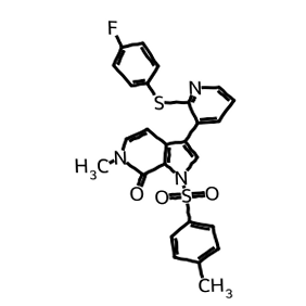 Cc1ccc(S(=O)(=O)n2cc(-c3cccnc3Sc3ccc(F)cc3)c3ccn(C)c(=O)c32)cc1